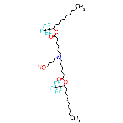 CCCCCCCCCC(OC(=O)CCCCCN(CCCCO)CCCCCC(=O)OC(CCCCCCCCC)C(F)(F)C(F)(F)F)C(F)(F)C(F)(F)F